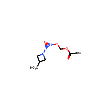 CC(C)(C)C(=O)OCOn1on1N1CC(C(=O)O)C1